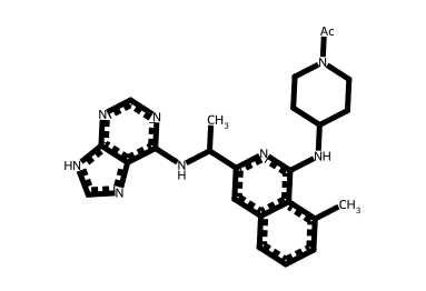 CC(=O)N1CCC(Nc2nc(C(C)Nc3ncnc4[nH]cnc34)cc3cccc(C)c23)CC1